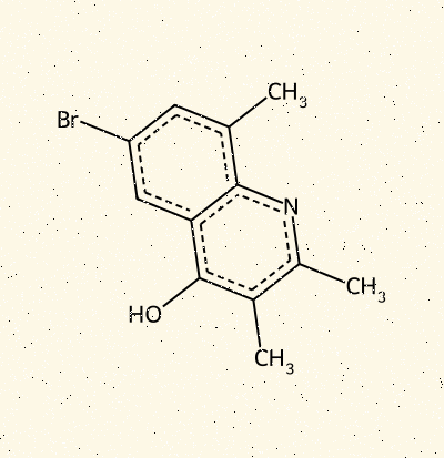 Cc1nc2c(C)cc(Br)cc2c(O)c1C